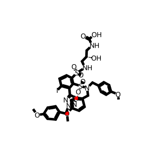 COc1ccc(CN(Cc2ccc(OC)cc2)S(=O)(=O)c2c(S(=O)(=O)NC[C@@H](O)CNC(=O)O)ccc(I)c2-c2nnn(Cc3ccc(OC)cc3)n2)cc1